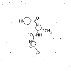 CC1CN(C(=O)C2CCNCC2)CC1NC(=O)c1cc(C2CC2)on1